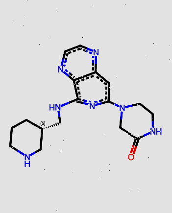 O=C1CN(c2cc3nccnc3c(NC[C@H]3CCCNC3)n2)CCN1